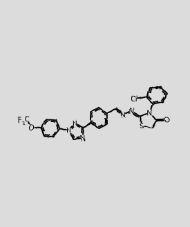 O=C1CS/C(=N\N=C\c2ccc(-c3ncn(-c4ccc(OC(F)(F)F)cc4)n3)cc2)N1c1ccccc1Cl